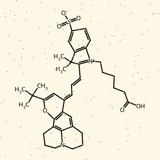 CC(C)(C)C1=CC(=CC=CC2=[N+](CCCCCC(=O)O)c3ccc(S(=O)(=O)[O-])cc3C2(C)C)c2cc3c4c(c2O1)CCCN4CCC3